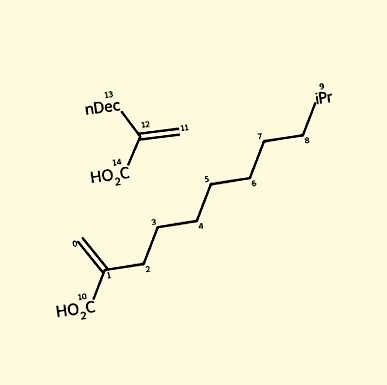 C=C(CCCCCCCC(C)C)C(=O)O.C=C(CCCCCCCCCC)C(=O)O